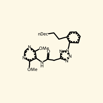 CCCCCCCCCCCCc1ccccc1-n1nnc(CC(=O)Nc2c(OC)ncnc2OC)n1